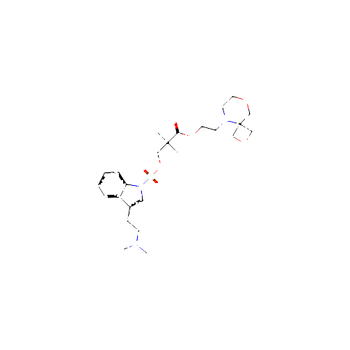 CN(C)CCc1cn(S(=O)(=O)OCC(C)(C)C(=O)OCCN2CCOCC23COC3)c2ccccc12